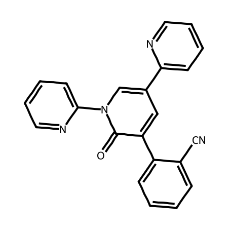 N#Cc1ccccc1-c1cc(-c2ccccn2)cn(-c2ccccn2)c1=O